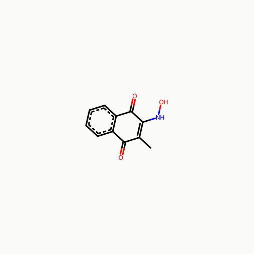 CC1=C(NO)C(=O)c2ccccc2C1=O